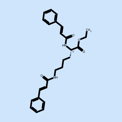 CCOC(=O)[C@H](CCCCNC(=O)C=Cc1ccccc1)NC(=O)C=Cc1ccccc1